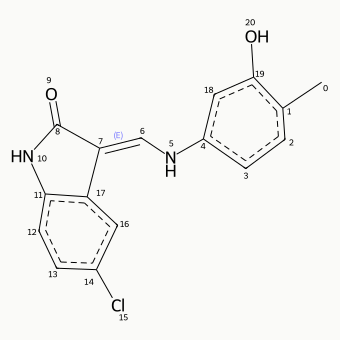 Cc1ccc(N/C=C2/C(=O)Nc3ccc(Cl)cc32)cc1O